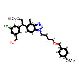 CCOC(=O)CC(c1cc(F)cc(CO)c1)c1ccc2c(nnn2CCCCOCc2ccc(OC)cc2)c1C